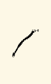 O=C=NCCCCCCCCCCCCCCCCCCCCCCCCCCCCCCCS